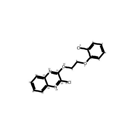 Clc1ccccc1OCCOc1nc2ccccc2nc1Cl